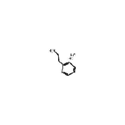 Cl.Cl.NCCc1ccccn1